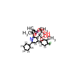 C#CP(=O)(O)C(C(=O)O)(c1c(-c2ccc(F)c(C)c2)cc(-c2ccccc2)nc1C(C)C)C(C)O